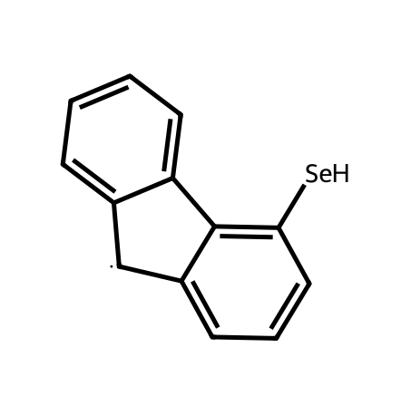 [SeH]c1cccc2c1-c1ccccc1[CH]2